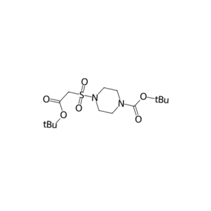 CC(C)(C)OC(=O)CS(=O)(=O)N1CCN(C(=O)OC(C)(C)C)CC1